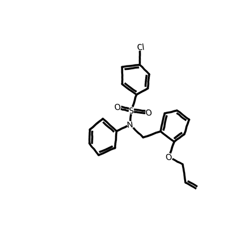 C=CCOc1ccccc1CN(c1ccccc1)S(=O)(=O)c1ccc(Cl)cc1